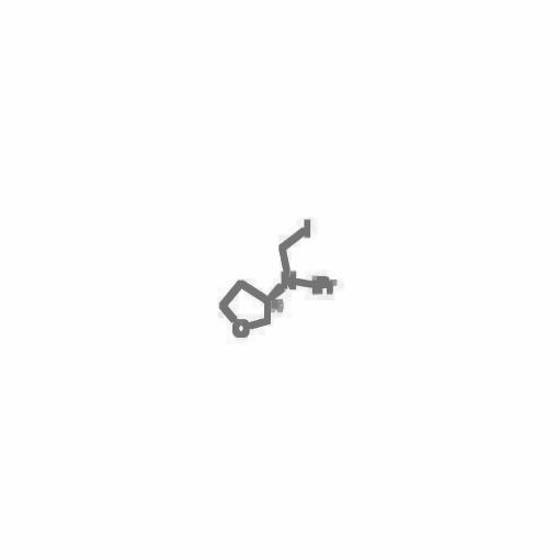 CC(C)N(CI)[C@@H]1CCOC1